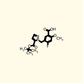 COc1cc(F)c(Cn2nccc2C(=O)OC(C)(C)C)cc1C(=O)O